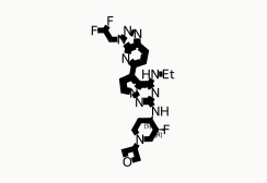 CCNc1nc(N[C@H]2CCN(C3COC3)C[C@H]2F)nn2ccc(-c3ccc4nnn(CC(F)F)c4n3)c12